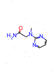 CN(CC(N)=O)c1ncccn1